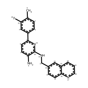 Cc1ccc(-c2ccc(N)c(NCc3ccc4ncccc4c3)n2)cc1F